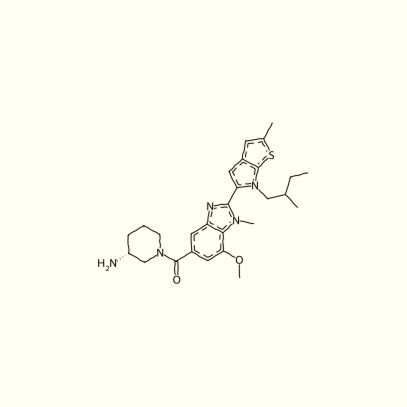 CCC(C)Cn1c(-c2nc3cc(C(=O)N4CCC[C@@H](N)C4)cc(OC)c3n2C)cc2cc(C)sc21